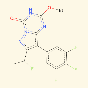 CCOc1nc2c(-c3cc(F)c(F)c(F)c3)c(C(C)F)nn2c(=O)[nH]1